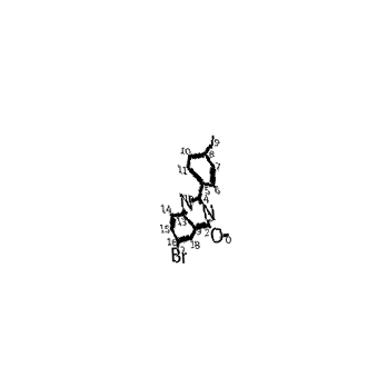 COc1nc(-c2ccc(I)cc2)nc2ccc(Br)cc12